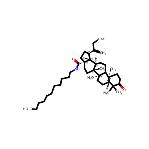 C=C(COC(C)=O)[C@@H]1CC[C@]2(C(=O)NCCCCCCCCCCC(=O)O)CC[C@]3(C)[C@H](CCC4[C@@]5(C)CCC(=O)C(C)(C)[C@@H]5CC[C@]43C)[C@@H]12